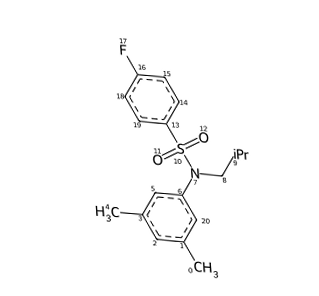 Cc1cc(C)cc(N(CC(C)C)S(=O)(=O)c2ccc(F)cc2)c1